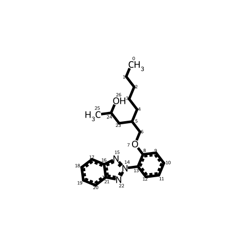 CCCCCC(COc1ccccc1-n1nc2ccccc2n1)CC(C)O